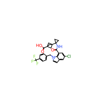 O=C(NC1(C23CC(C(=O)O)(C2)C3)CC1)c1cc(Cl)cc2ccn(Cc3ccc(C(F)(F)F)cc3)c12